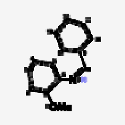 COc1ccccc1/N=C\c1ccccc1